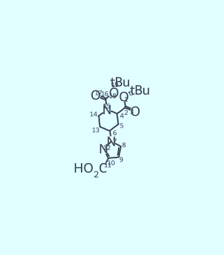 CC(C)(C)OC(=O)C1CC(n2ccc(C(=O)O)n2)CCN1C(=O)OC(C)(C)C